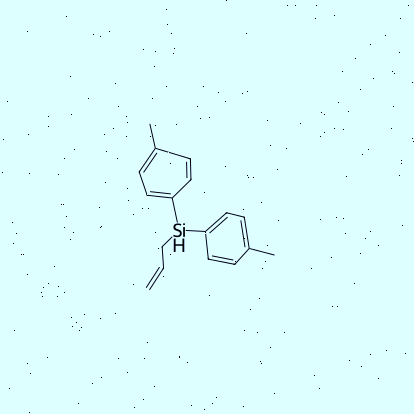 C=CC[SiH](c1ccc(C)cc1)c1ccc(C)cc1